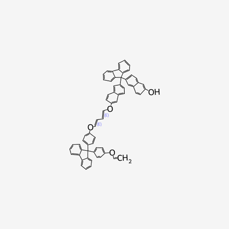 C=COc1ccc(C2(c3ccc(O/C=C/C=C/Oc4ccc5cc(C6(c7ccc8cc(O)ccc8c7)c7ccccc7-c7ccccc76)ccc5c4)cc3)c3ccccc3-c3ccccc32)cc1